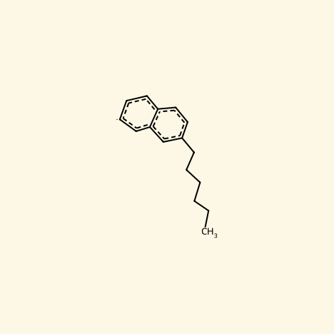 CCCCCCc1ccc2cc[c]cc2c1